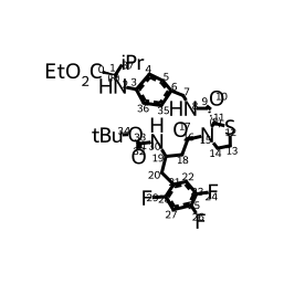 CCOC(=O)[C@H](Nc1ccc(CNC(=O)[C@@H]2SCCN2C(=O)CC(Cc2cc(F)c(F)cc2F)NC(=O)OC(C)(C)C)cc1)C(C)C